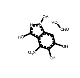 O=CO.O=[N+]([O-])c1c(O)c(O)cc2c1c(O)nn2O